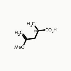 C=C(C[C@@H](C)C(=O)O)OC